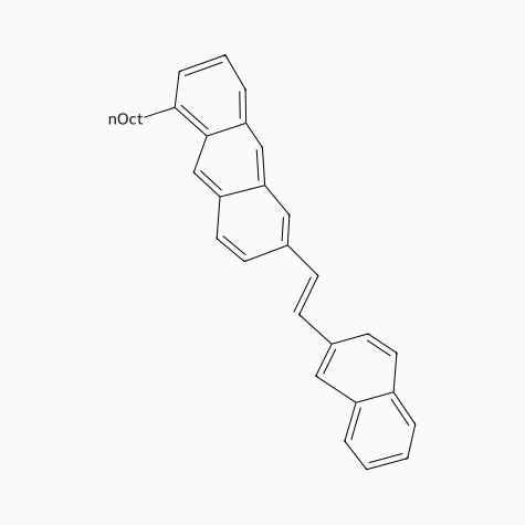 CCCCCCCCc1cccc2cc3cc(C=Cc4ccc5ccccc5c4)ccc3cc12